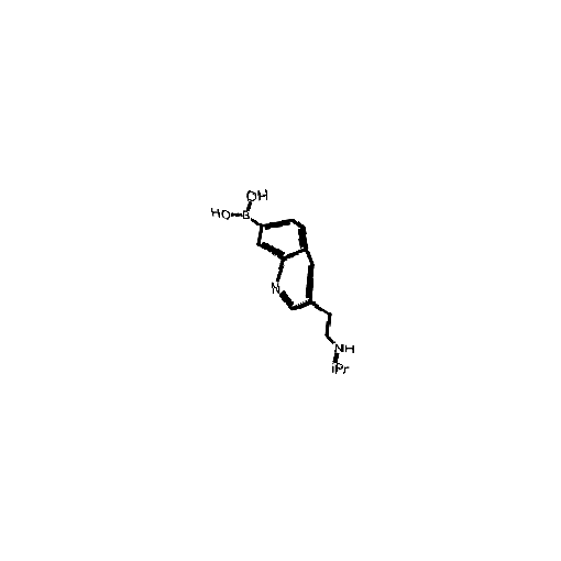 CC(C)NCCc1cnc2cc(B(O)O)ccc2c1